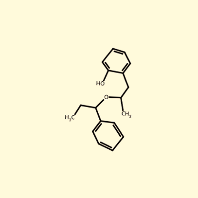 CCC(OC(C)Cc1ccccc1O)c1ccccc1